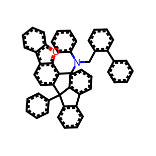 c1ccc(-c2ccccc2CN(Cc2c(C3(c4ccccc4)c4ccccc4-c4ccccc43)ccc3c2oc2ccccc23)c2ccccc2)cc1